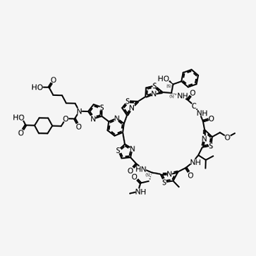 CNC(=O)C[C@@H]1NC(=O)c2csc(n2)-c2ccc(-c3nc(N(CCCCC(=O)O)C(=O)OCC4CCC(C(=O)O)CC4)cs3)nc2-c2csc(n2)-c2csc(n2)[C@H]([C@@H](O)c2ccccc2)NC(=O)CNC(=O)c2nc(sc2COC)C(C(C)C)NC(=O)c2nc1sc2C